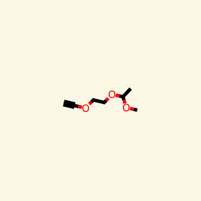 C#COCCOC(C)OC